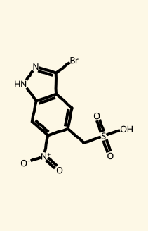 O=[N+]([O-])c1cc2[nH]nc(Br)c2cc1CS(=O)(=O)O